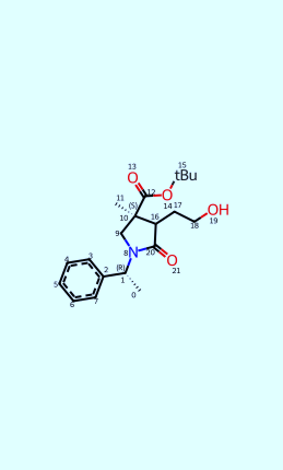 C[C@H](c1ccccc1)N1C[C@@](C)(C(=O)OC(C)(C)C)C(CCO)C1=O